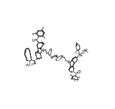 CC(=O)O/N=C(/c1ccc2c(c1)c1cc(C(=O)c3c(C)cc(C)cc3C)ccc1n2CCOCCOCCn1c2ccc(C(=O)c3c(C)cc(C)cc3C)cc2c2cc(/C(=N/OC(C)=O)c3ccccc3C)ccc21)c1ccccc1C